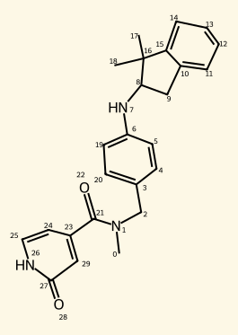 CN(Cc1ccc(NC2Cc3ccccc3C2(C)C)cc1)C(=O)c1cc[nH]c(=O)c1